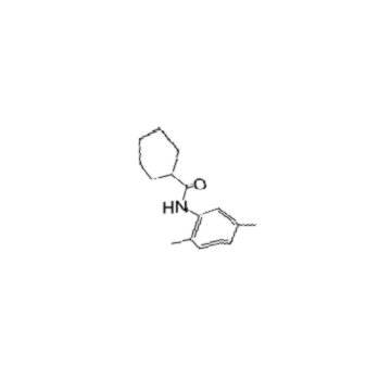 Cc1ccc(C)c(NC(=O)C2CCCCC2)c1